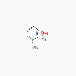 CCCCc1ccccc1.CCO